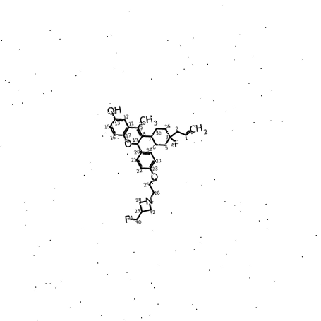 C=CCC1(F)CCC(C2=C(C)c3cc(O)ccc3OC2c2ccc(OCCN3CC(CF)C3)cc2)CC1